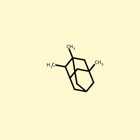 CC1[C]2CC3CC(C)(C2)CC1(C)C3